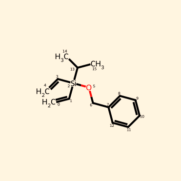 C=C[Si](C=C)(OCc1ccccc1)C(C)C